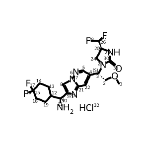 COC[C@H](c1cnn2cc([C@@H](N)C3CCC(F)(F)CC3)nc2c1)N1C[C@@H](C(F)F)NC1=O.Cl